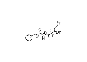 CC(C)CCC(O)C(F)(F)C(=O)ONC(=O)OCc1ccccc1